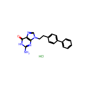 Cl.Nc1nc2c(ncn2CCc2ccc(-c3ccccc3)cc2)c(=O)[nH]1